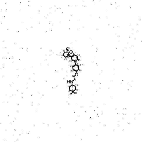 CC1(C)CCC(NCCOc2ccc(-c3cccc(N4CCCS4(=O)=O)c3)cc2)CC1